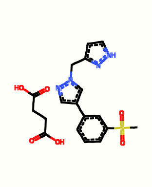 CS(=O)(=O)c1cccc(-c2cnn(Cc3cc[nH]n3)c2)c1.O=C(O)CCC(=O)O